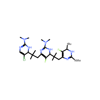 CNC1=NC(CC(C)(C)C2NC(N(C)C)=NC(CC(C)(C)C3NC(N(C)C)=NC=C3Cl)=C2F)=C(F)C(C(C)(C)C)N1